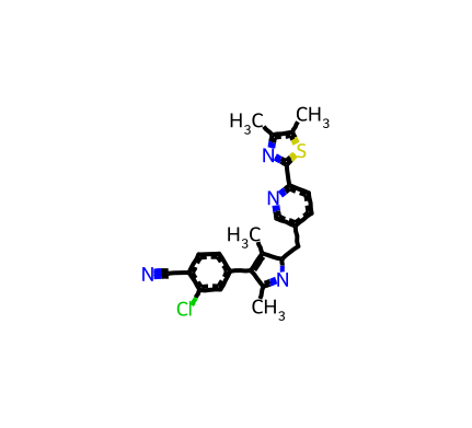 CC1=NC(Cc2ccc(-c3nc(C)c(C)s3)nc2)C(C)=C1c1ccc(C#N)c(Cl)c1